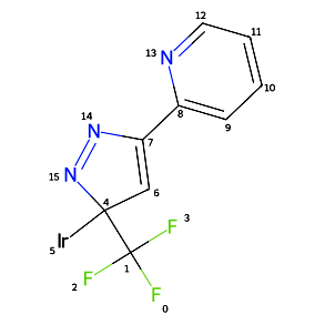 FC(F)(F)[C]1([Ir])C=C(c2ccccn2)N=N1